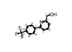 OCc1cccc(-c2ccc(C(F)(F)F)cc2)n1